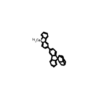 Cn1c2ccccc2c2cc(-c3ccc4c(c3)-c3ccccc3C43C4CC5CC(C4)CC3C5)ccc21